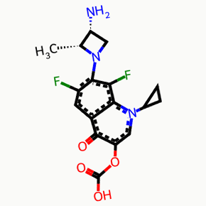 C[C@@H]1[C@H](N)CN1c1c(F)cc2c(=O)c(OC(=O)O)cn(C3CC3)c2c1F